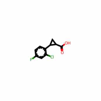 O=C(O)C1CC1c1ccc(F)cc1Cl